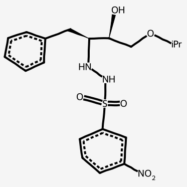 CC(C)OC[C@H](O)[C@H](Cc1ccccc1)NNS(=O)(=O)c1cccc([N+](=O)[O-])c1